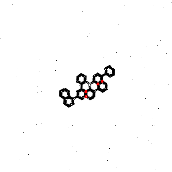 c1ccc(-c2ccc(N(c3ccccc3-c3ccccc3)c3ccccc3-c3cccc(-c4cccc5ccccc45)c3)cc2)cc1